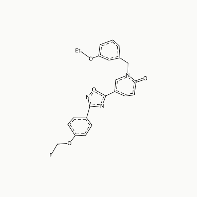 CCOc1cccc(Cn2cc(-c3nc(-c4ccc(OCF)cc4)no3)ccc2=O)c1